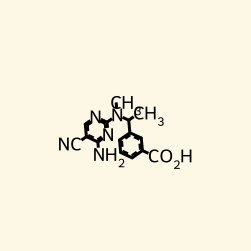 CC(c1cccc(C(=O)O)c1)N(C)c1ncc(C#N)c(N)n1